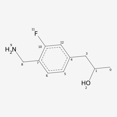 CC(O)Cc1ccc(CN)c(F)c1